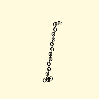 CCCOCCOCCOCCOCCOCCOCCOCCOCCOCCOCCOCCN1C(=O)C=CC1=O